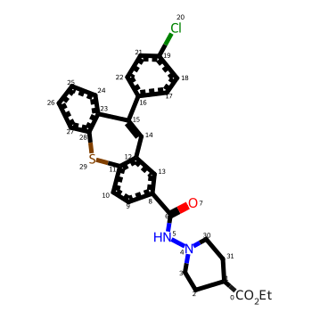 CCOC(=O)C1CCN(NC(=O)c2ccc3c(c2)C=C(c2ccc(Cl)cc2)c2ccccc2S3)CC1